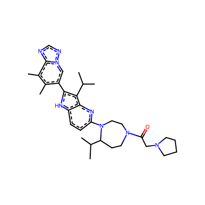 Cc1c(-c2[nH]c3ccc(N4CCN(C(=O)CN5CCCC5)CCC4C(C)C)nc3c2C(C)C)cn2ncnc2c1C